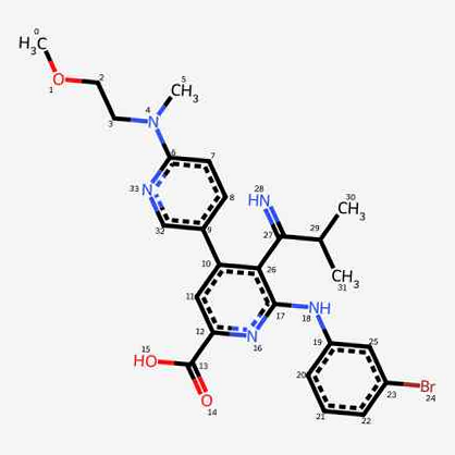 COCCN(C)c1ccc(-c2cc(C(=O)O)nc(Nc3cccc(Br)c3)c2C(=N)C(C)C)cn1